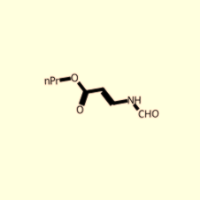 CCCOC(=O)C=CNC=O